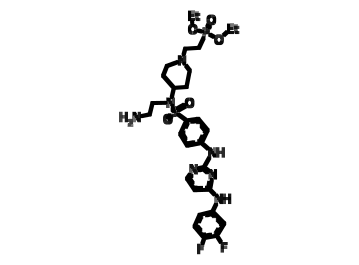 CCOP(=O)(CCN1CCC(N(CCN)S(=O)(=O)c2ccc(Nc3nccc(Nc4ccc(F)c(F)c4)n3)cc2)CC1)OCC